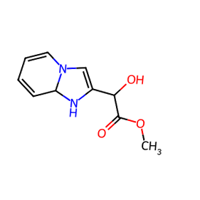 COC(=O)C(O)C1=CN2C=CC=CC2N1